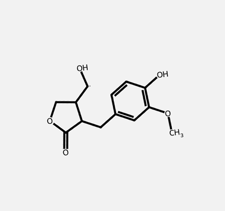 COc1cc(CC2C(=O)OCC2[CH]O)ccc1O